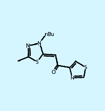 CCCCN1N=C(C)S/C1=C\C(=O)c1cscn1